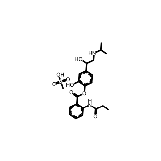 CCC(=O)Nc1ccccc1C(=O)Oc1ccc(C(O)CNC(C)C)cc1O.CS(=O)(=O)O